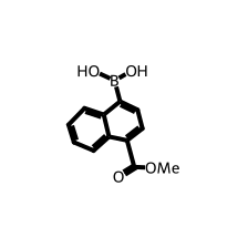 COC(=O)c1ccc(B(O)O)c2ccccc12